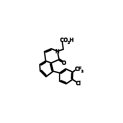 O=C(O)Cn1ccc2cccc(-c3ccc(Cl)c(C(F)(F)F)c3)c2c1=O